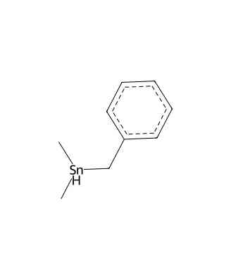 [CH3][SnH]([CH3])[CH2]c1ccccc1